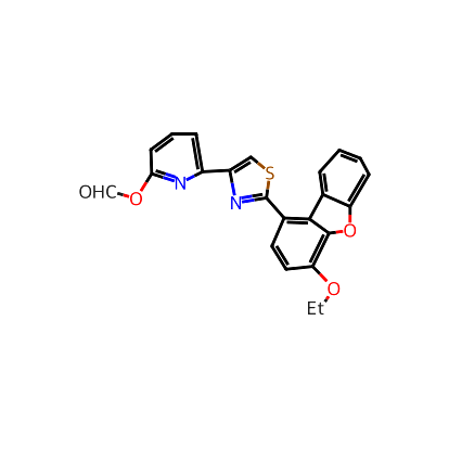 CCOc1ccc(-c2nc(-c3cccc(OC=O)n3)cs2)c2c1oc1ccccc12